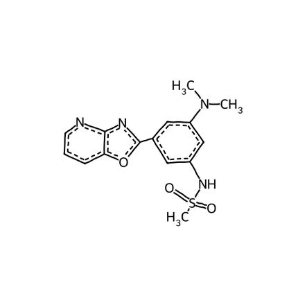 CN(C)c1cc(NS(C)(=O)=O)cc(-c2nc3ncccc3o2)c1